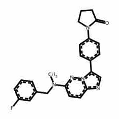 CN(Cc1cccc(F)c1)c1ccc2ncc(-c3ccc(N4CCCC4=O)cc3)n2n1